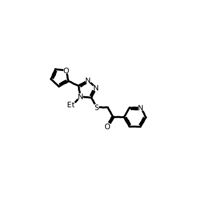 CCn1c(SCC(=O)c2cccnc2)nnc1-c1ccco1